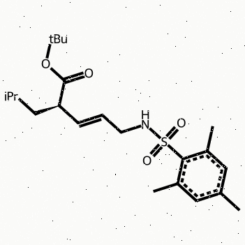 Cc1cc(C)c(S(=O)(=O)NCC=C[C@@H](CC(C)C)C(=O)OC(C)(C)C)c(C)c1